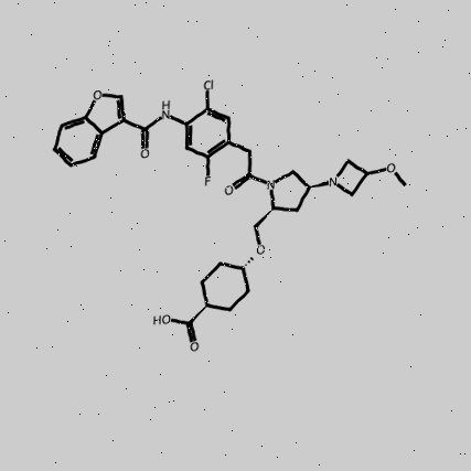 COC1CN([C@H]2C[C@@H](CO[C@H]3CC[C@H](C(=O)O)CC3)N(C(=O)Cc3cc(Cl)c(NC(=O)c4coc5ccccc45)cc3F)C2)C1